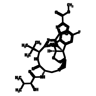 COC(=O)c1coc(-c2nc3oc2[C@@]24c5cc(F)ccc5N[C@@H]2Oc2ccc(cc24)C[C@H](NC(=O)[C@@H](O)C(C)C)C(=O)N[C@H]3C(C)(C)C)n1